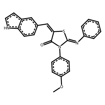 COc1ccc(N2C(=O)C(=Cc3ccc4[nH]ccc4c3)SC2=Nc2ccccc2)cc1